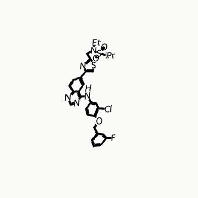 CCN(Cc1nc(-c2ccc3ncnc(Nc4ccc(OCc5cccc(F)c5)c(Cl)c4)c3c2)cs1)S(=O)(=O)C(C)C